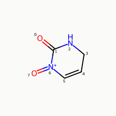 O=C1NCC=C[N+]1=O